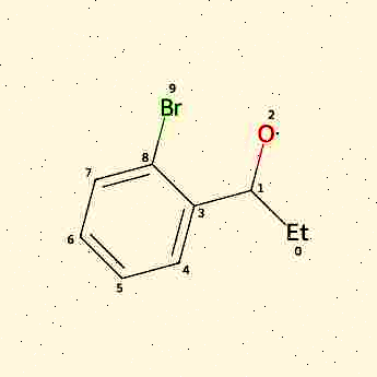 CCC([O])c1ccccc1Br